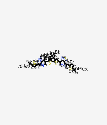 C=C1C(c2cc3c(s2)-c2sc(-c4cnc(C(C)(CCC)c5ccc(C(C)(CC)CCCCCC)s5)c5nsnc45)cc2C3(CC(CC)CCCC)CC(CC)CCCC)=CN=C(C(C)(CC)c2ccc(C(C)(CC)CCCCCC)s2)/C1=N/SC